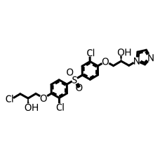 O=S(=O)(c1ccc(OC[C@@H](O)Cn2ccnc2)c(Cl)c1)c1ccc(OC[C@@H](O)CCl)c(Cl)c1